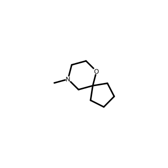 CN1CCOC2(CCCC2)C1